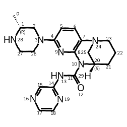 C[C@@H]1CN(c2ccc3c(n2)N(C(=O)Nc2cnccn2)[C@H]2CCCN3C2)CCN1